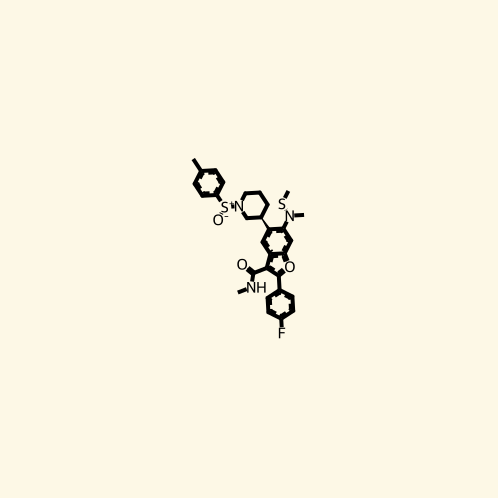 CNC(=O)c1c(-c2ccc(F)cc2)oc2cc(N(C)SC)c([C@@H]3CCCN([S+]([O-])c4ccc(C)cc4)C3)cc12